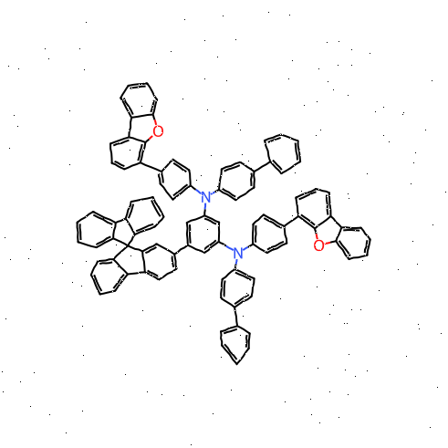 c1ccc(-c2ccc(N(c3ccc(-c4cccc5c4oc4ccccc45)cc3)c3cc(-c4ccc5c(c4)C4(c6ccccc6-c6ccccc64)c4ccccc4-5)cc(N(c4ccc(-c5ccccc5)cc4)c4ccc(-c5cccc6c5oc5ccccc56)cc4)c3)cc2)cc1